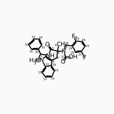 CC(NC(=O)C(C)(Cc1c[nH]c2ccccc12)N(Cc1cc(F)ccc1F)C(=O)O)c1ccccc1